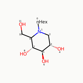 CCCCCCN1C[C@H](O)[C@@H](O)[C@H](O)C1CO